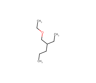 CCCC(CC)COCC